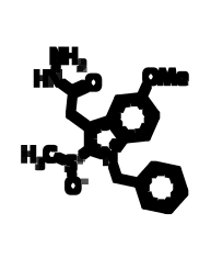 COc1ccc2c(c1)c(CC(=O)NN)c([S+](C)[O-])n2Cc1ccccc1